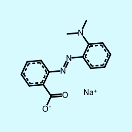 CN(C)c1ccccc1N=Nc1ccccc1C(=O)[O-].[Na+]